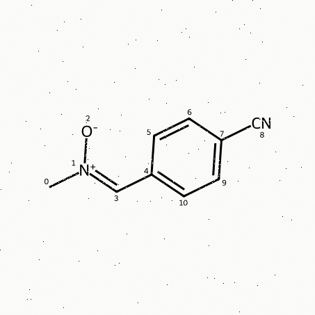 C[N+]([O-])=Cc1ccc(C#N)cc1